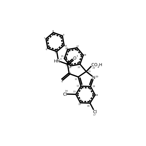 C=C(C(=O)Nc1ccccc1)C1=c2c(Cl)cc(Cl)cc2=NC1(C(=O)O)c1ccccc1